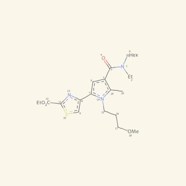 CCCCCCN(CC)C(=O)c1cc(-c2csc(C(=O)OCC)n2)n(CCCOC)c1C